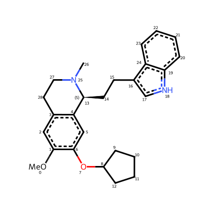 COc1cc2c(cc1OC1CCCC1)[C@H](CCc1c[nH]c3ccccc13)N(C)CC2